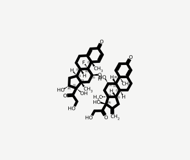 C=C1C[C@H]2[C@@H]3CCC4=CC(=O)C=C[C@]4(C)[C@H]3[C@@H](O)C[C@]2(C)[C@@]1(O)C(=O)CO.C[C@]12C=CC(=O)C=C1CC[C@H]1[C@@H]3C[C@@H](O)[C@](O)(C(=O)CO)[C@@]3(C)C[C@H](O)[C@@]12F